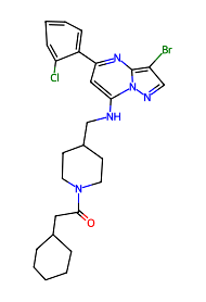 O=C(CC1CCCCC1)N1CCC(CNc2cc(-c3ccccc3Cl)nc3c(Br)cnn23)CC1